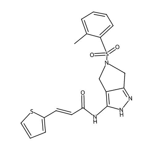 Cc1ccccc1S(=O)(=O)N1Cc2n[nH]c(NC(=O)C=Cc3cccs3)c2C1